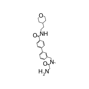 CN(Cc1cccc(-c2ccc(C(=O)NCCC3CCOCC3)cc2)c1)C(=O)CN